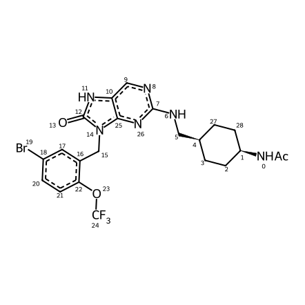 CC(=O)N[C@H]1CC[C@@H](CNc2ncc3[nH]c(=O)n(Cc4cc(Br)ccc4OC(F)(F)F)c3n2)CC1